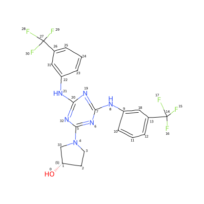 O[C@H]1CCN(c2nc(Nc3cccc(C(F)(F)F)c3)nc(Nc3cccc(C(F)(F)F)c3)n2)C1